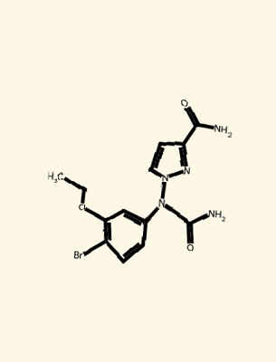 CCOc1cc(N(C(N)=O)n2ccc(C(N)=O)n2)ccc1Br